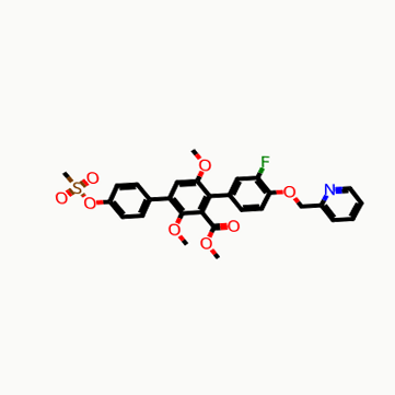 COC(=O)c1c(OC)c(-c2ccc(OS(C)(=O)=O)cc2)cc(OC)c1-c1ccc(OCc2ccccn2)c(F)c1